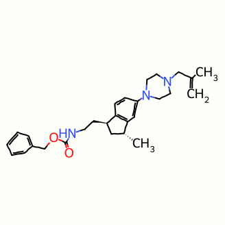 C=C(C)CN1CCN(c2ccc3c(c2)[C@H](C)C[C@H]3CCNC(=O)OCc2ccccc2)CC1